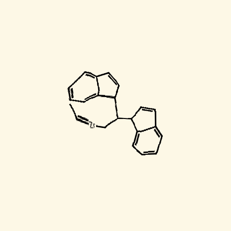 C[CH]=[Zr][CH2]C(C1C=Cc2ccccc21)C1C=Cc2ccccc21